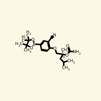 CC(C)C[C@@](C)(COc1ccc(B2OC(C)(C)C(C)(C)O2)cc1C#N)OC(N)=O